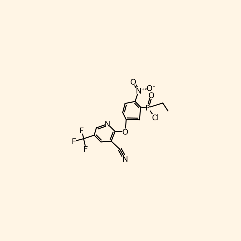 CCP(=O)(Cl)c1cc(Oc2ncc(C(F)(F)F)cc2C#N)ccc1[N+](=O)[O-]